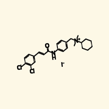 C[N+](C)(Cc1ccc(NC(=O)/C=C/c2ccc(Cl)c(Cl)c2)cc1)C1CCCCC1.[I-]